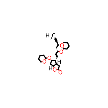 CC#CCC[C@@H](/C=C/[C@@H]1[C@H]2CC(=O)O[C@H]2C[C@H]1OC1CCCCO1)OC1CCCCO1